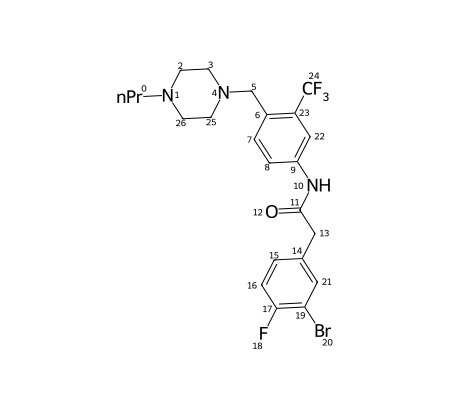 CCCN1CCN(Cc2ccc(NC(=O)Cc3ccc(F)c(Br)c3)cc2C(F)(F)F)CC1